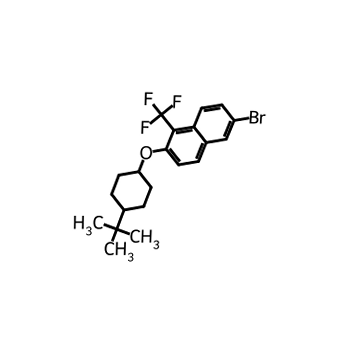 CC(C)(C)C1CCC(Oc2ccc3cc(Br)ccc3c2C(F)(F)F)CC1